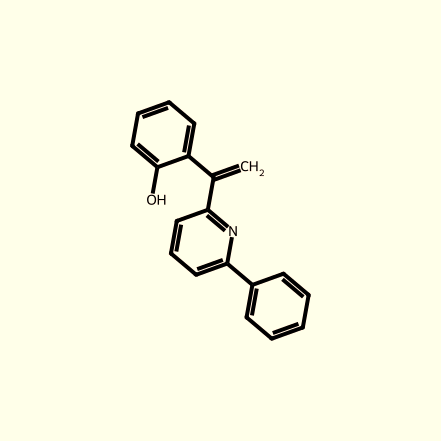 C=C(c1cccc(-c2ccccc2)n1)c1ccccc1O